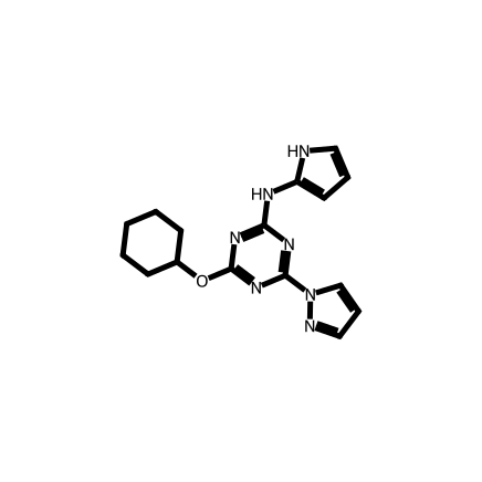 c1c[nH]c(Nc2nc(OC3CCCCC3)nc(-n3cccn3)n2)c1